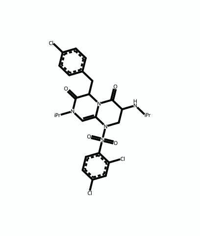 CC(C)NC1CN(S(=O)(=O)c2ccc(Cl)cc2Cl)C2=CN(C(C)C)C(=O)C(Cc3ccc(Cl)cc3)N2C1=O